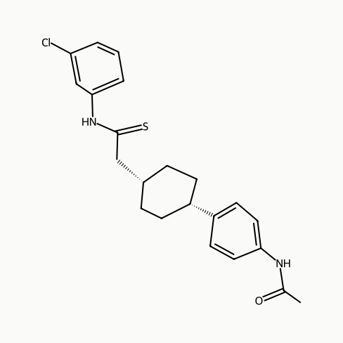 CC(=O)Nc1ccc([C@H]2CC[C@@H](CC(=S)Nc3cccc(Cl)c3)CC2)cc1